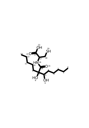 CCCCCC(O)C(O)(CCCCC)C(=O)NC(CS)C(=O)O